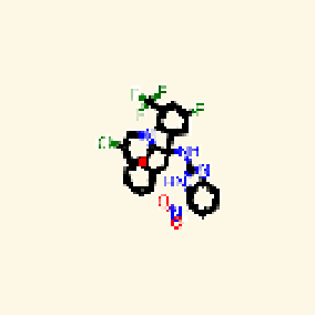 O=[N+]([O-])c1cccc2nc(NC(Cc3ccccc3)(c3cc(F)cc(C(F)(F)F)c3)c3ccc(Cl)cn3)[nH]c12